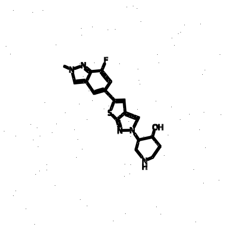 Cn1cc2cc(-c3cc4cn(C5CNCCC5O)nc4s3)cc(F)c2n1